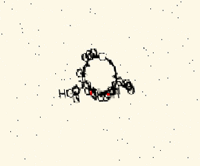 CO[C@@H]1/C(C)=C/[C@@H](C)C(=O)C[C@@H]([C@H](C)C[C@@H]2CC[C@@H](O)[C@H](OC)C2)OC(=O)[C@@H]2CCCCN2C(=O)C(=O)[C@]2(O)O[C@@H](CC[C@H]2C)CC(OCC2COCCO2)/C(C)=C/C=C/C=C/[C@@H](C)C[C@@H](C)C(=O)[C@@H]1OC